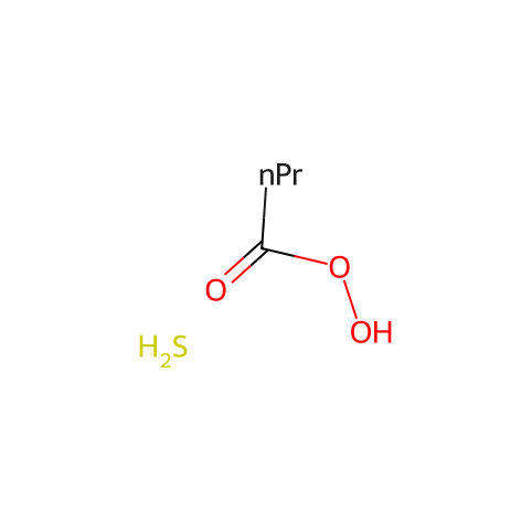 CCCC(=O)OO.S